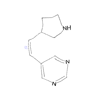 C(=C/C1CCNC1)/c1cncnc1